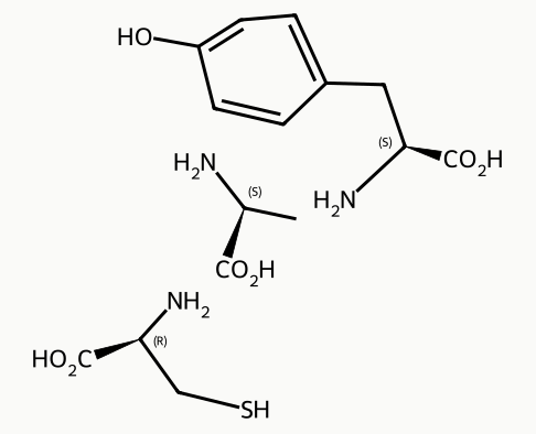 C[C@H](N)C(=O)O.N[C@@H](CS)C(=O)O.N[C@@H](Cc1ccc(O)cc1)C(=O)O